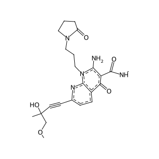 CNC(=O)c1c(N)n(CCCN2CCCC2=O)c2nc(C#CC(C)(O)COC)ccc2c1=O